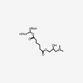 CCCCCCCCCC(CCCCCC)OC(=O)CCCCC(=O)OCC(O)CN(C)C